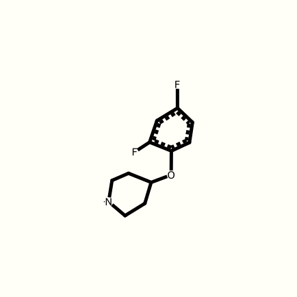 Fc1ccc(OC2CC[N]CC2)c(F)c1